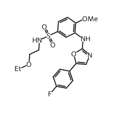 CCOCCNS(=O)(=O)c1ccc(OC)c(Nc2ncc(-c3ccc(F)cc3)o2)c1